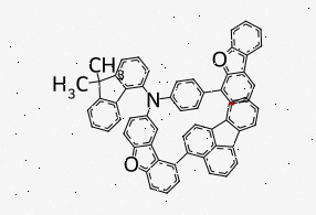 CC1(C)c2ccccc2-c2c(N(c3ccc(-c4cccc5c4oc4ccccc45)cc3)c3ccc4oc5cccc(-c6ccc7c8c(cccc68)-c6ccccc6-7)c5c4c3)cccc21